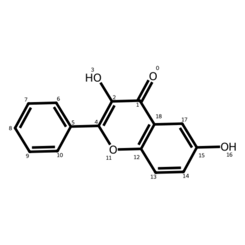 O=c1c(O)c(-c2ccccc2)oc2ccc(O)cc12